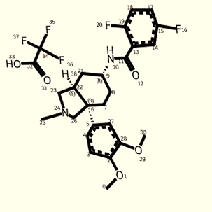 COc1ccc([C@@]23CC[C@@H](NC(=O)c4cc(F)ccc4F)C[C@@H]2CN(C)C3)cc1OC.O=C(O)C(F)(F)F